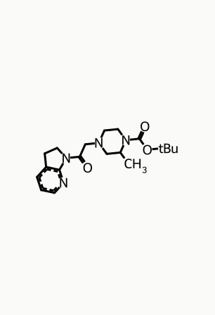 CC1CN(CC(=O)N2CCc3cccnc32)CCN1C(=O)OC(C)(C)C